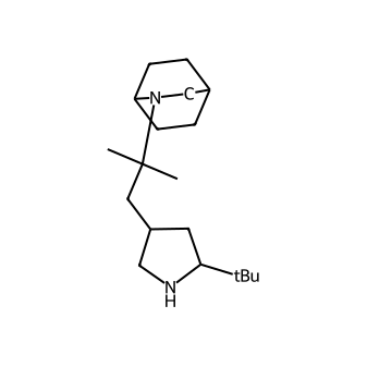 CC(C)(C)C1CC(CC(C)(C)N2CC3CCC2CC3)CN1